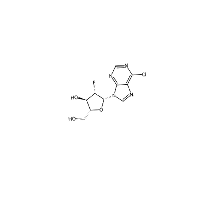 OC[C@H]1O[C@@H](n2cnc3c(Cl)ncnc32)[C@@H](F)[C@@H]1O